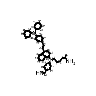 C/C(N)=C/C=C\CN(c1ccc(C=N)cc1)c1ccc(/C=C/c2ccc(N(c3ccccc3)c3ccccc3)cc2)c2ccccc12